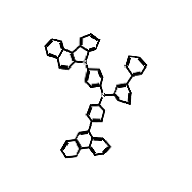 C1=Cc2cc(C3=CCC(N(c4ccc(-n5c6ccccc6c6c7ccccc7ccc65)cc4)c4cccc(-c5ccccc5)c4)C=C3)c3ccccc3c2CC1